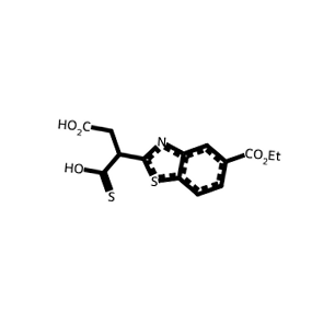 CCOC(=O)c1ccc2sc(C(CC(=O)O)C(O)=S)nc2c1